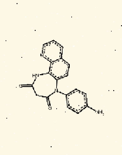 Nc1ccc(N2C(=O)CC(=O)Nc3c2ccc2cccnc32)cc1